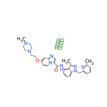 Cc1cccc(Cn2nc(C)c3c(NC(=O)c4cnc5cc(OCCN6CCN(C)CC6)ccn45)cccc32)n1.Cl.Cl.Cl.Cl